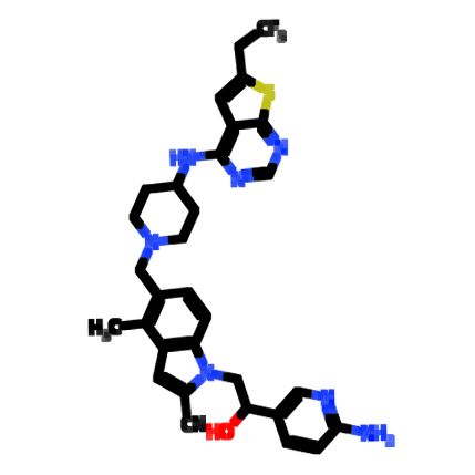 Cc1c(CN2CCC(Nc3ncnc4sc(CC(F)(F)F)cc34)CC2)ccc2c1cc(C#N)n2CC(O)c1ccc(N)nc1